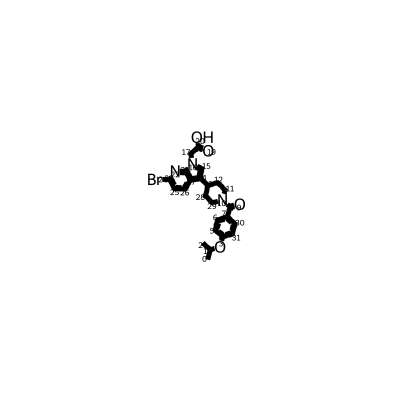 CC(C)Oc1ccc(C(=O)N2CCC(c3cn(CC(=O)O)c4nc(Br)ccc34)CC2)cc1